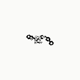 CC(C)C[C@H](NC(=O)c1cc2ccccc2o1)C(=O)N[C@H]1CCN(Cc2ccc(-c3ccccc3)cc2)C1